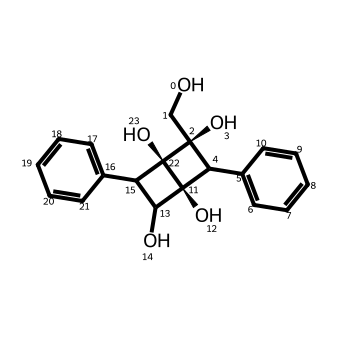 OC[C@]1(O)C(c2ccccc2)[C@]2(O)C(O)C(c3ccccc3)[C@@]21O